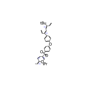 C=C/C(=C\C=C(/C=C)C(C)(C)C)c1ccc(Oc2ccc(S(=O)(=O)C(/C=C\C(=C/C)OC(C)C)=C/C)cc2)cc1